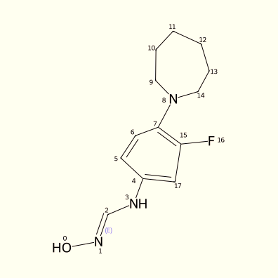 O/N=C/Nc1ccc(N2CCCCCC2)c(F)c1